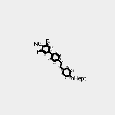 CCCCCCCC1CCC(CCc2ccc(-c3cc(F)c(C#N)c(F)c3)cc2)CC1